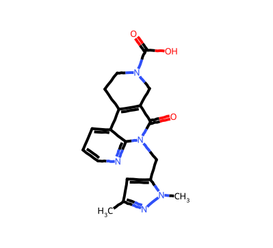 Cc1cc(Cn2c(=O)c3c(c4cccnc42)CCN(C(=O)O)C3)n(C)n1